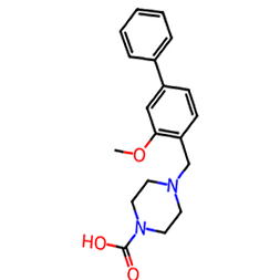 COc1cc(-c2ccccc2)ccc1CN1CCN(C(=O)O)CC1